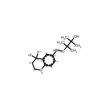 CC(C)(O)C(C)(C)OBc1ccc2c(c1)C(F)(F)CCO2